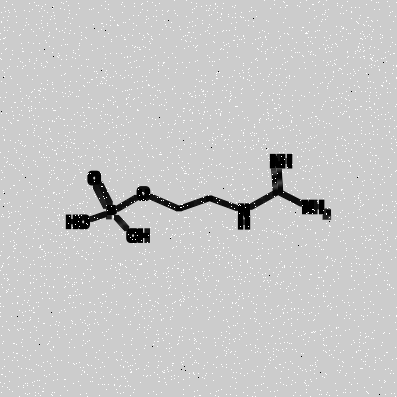 N=C(N)NCCOP(=O)(O)O